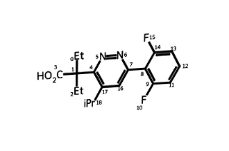 CCC(CC)(C(=O)O)c1nnc(-c2c(F)cccc2F)cc1C(C)C